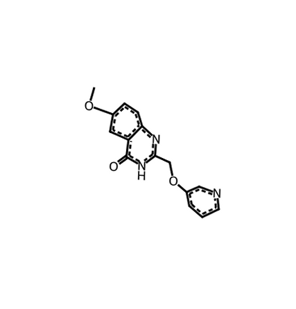 COc1ccc2nc(COc3cccnc3)[nH]c(=O)c2c1